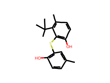 Cc1ccc(O)c(Sc2c(O)ccc(C)c2C(C)(C)C)c1